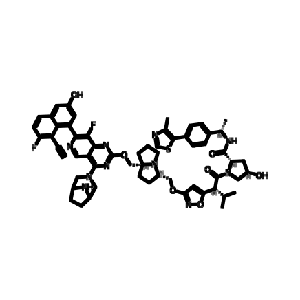 C#Cc1c(F)ccc2cc(O)cc(-c3ncc4c(N5CC6CCC(C5)N6)nc(OC[C@]56CCCN5[C@H](COc5cc([C@H](C(=O)N7C[C@H](O)C[C@H]7C(=O)N[C@@H](C)c7ccc(-c8scnc8C)cc7)C(C)C)on5)CC6)nc4c3F)c12